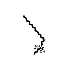 CCCCCCCCCCCCCC/C=C\CCOP(=O)(O)C(CCC)[N+](C)(C)C